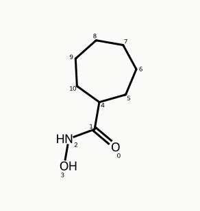 O=C(NO)C1CCCCCC1